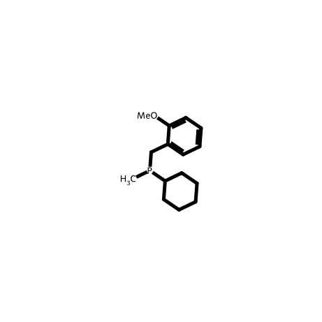 COc1ccccc1CP(C)C1CCCCC1